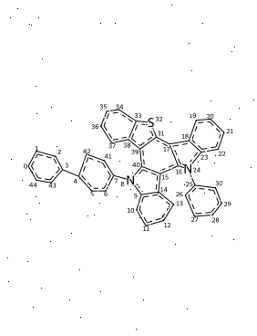 c1ccc(-c2ccc(-n3c4ccccc4c4c5c(c6ccccc6n5-c5ccccc5)c5sc6ccccc6c5c43)cc2)cc1